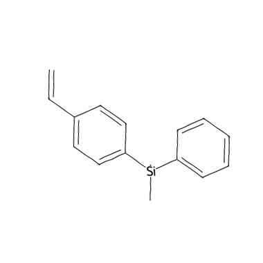 C=Cc1ccc([Si](C)c2ccccc2)cc1